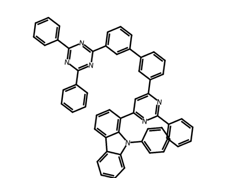 c1ccc(-c2nc(-c3cccc(-c4cccc(-c5nc(-c6ccccc6)nc(-c6ccccc6)n5)c4)c3)cc(-c3cccc4c5ccccc5n(-c5ccccc5)c34)n2)cc1